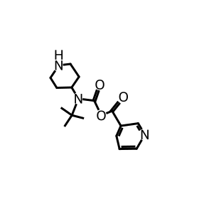 CC(C)(C)N(C(=O)OC(=O)c1cccnc1)C1CCNCC1